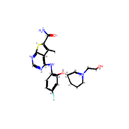 Cc1c(C(N)=O)sc2ncnc(Nc3ccc(F)cc3O[C@H]3CCCN(CCO)C3)c12